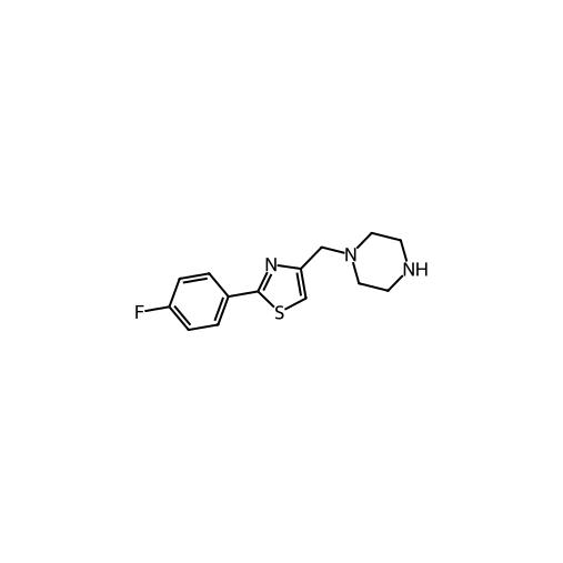 Fc1ccc(-c2nc(CN3CCNCC3)cs2)cc1